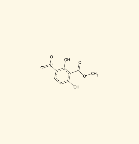 COC(=O)c1c(O)ccc([N+](=O)[O-])c1O